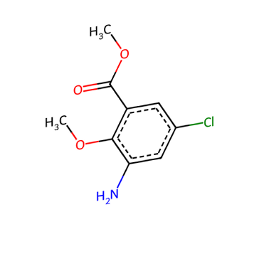 COC(=O)c1cc(Cl)cc(N)c1OC